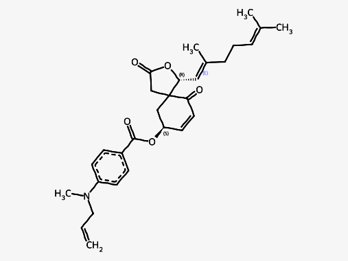 C=CCN(C)c1ccc(C(=O)O[C@@H]2C=CC(=O)C3(CC(=O)O[C@@H]3/C=C(\C)CCC=C(C)C)C2)cc1